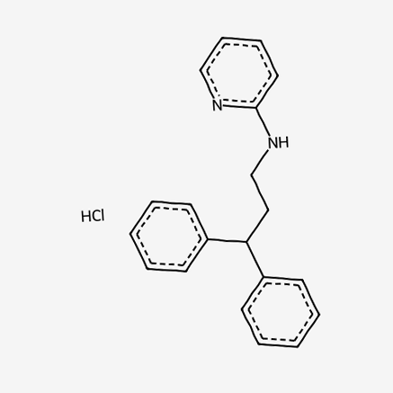 Cl.c1ccc(C(CCNc2ccccn2)c2ccccc2)cc1